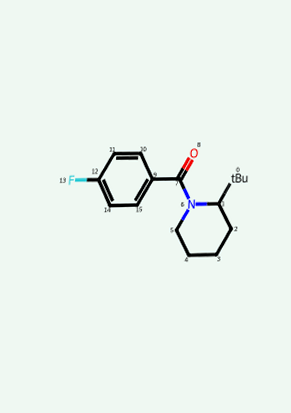 CC(C)(C)C1CCCCN1C(=O)c1ccc(F)cc1